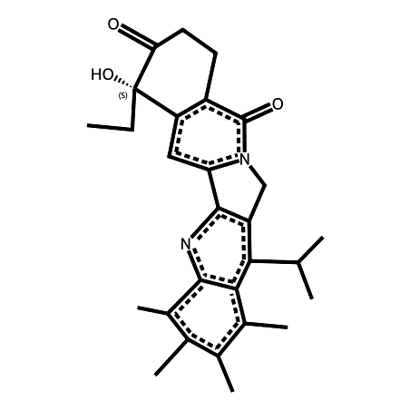 CC[C@@]1(O)C(=O)CCc2c1cc1n(c2=O)Cc2c-1nc1c(C)c(C)c(C)c(C)c1c2C(C)C